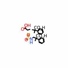 CC(C)(C(=O)O)c1ccccc1.CC(CN[SH](=O)=O)(C(=O)O)c1ccccc1.CCC(=O)O